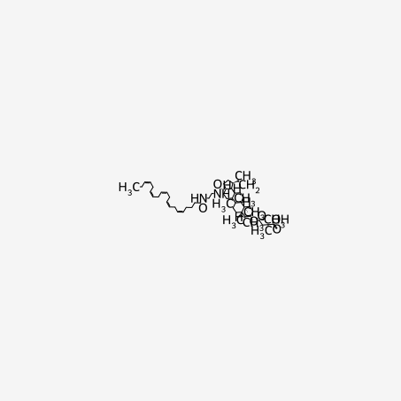 C=C(C)[C@@H]1CC[C@]2(C(=O)NCCNC(=O)CCC/C=C\C/C=C\C/C=C\C/C=C\C/C=C\CC)CC[C@]3(C)[C@H](CC[C@@H]4[C@@]5(C)CC[C@H](OC(=O)CC(C)(C)C(=O)O)C(C)(C)[C@@H]5CC[C@]43C)[C@@H]12